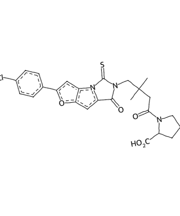 CC(C)(CC(=O)N1CCCC1C(=O)O)CN1C(=O)c2cc3oc(-c4ccc(Cl)cc4)cc3n2C1=S